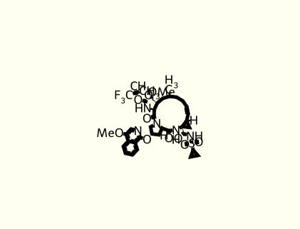 COC[C@@H]1C[C@@H](C)CC/C=C\[C@@H]2C[C@@]2(C(=O)NS(=O)(=O)C2CC2)NC(=O)[C@@H]2C[C@@H](Oc3ncc(OC)c4ccccc34)CN2C(=O)[C@H]1NC(=O)OC(C)(C)C(F)(F)F